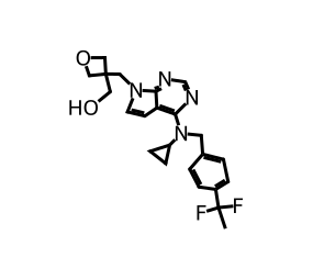 CC(F)(F)c1ccc(CN(c2ncnc3c2ccn3CC2(CO)COC2)C2CC2)cc1